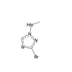 CNn1cnc(Br)n1